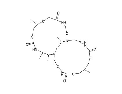 CC1CCC(=O)NCCN2CCNC(=O)CCC(C)CCC(=O)NC(C)C(C)N(CCNC(=O)CC1)CC2C